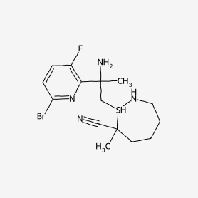 CC(N)(C[SH]1NCCCCC1(C)C#N)c1nc(Br)ccc1F